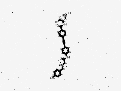 C[C@@H](O)[C@H](CNO)NC(=O)c1ccc(C#Cc2ccc(NC(=O)CNCc3ccc(Cl)cc3)cc2)cc1